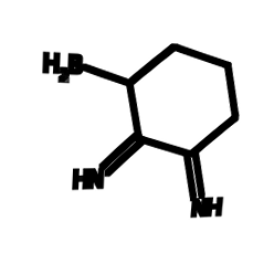 BC1CCCC(=N)C1=N